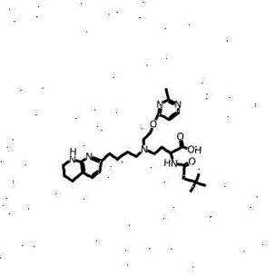 Cc1nccc(OCCN(CCCCc2ccc3c(n2)NCCC3)CCC(NC(=O)CC(C)(C)C)C(=O)O)n1